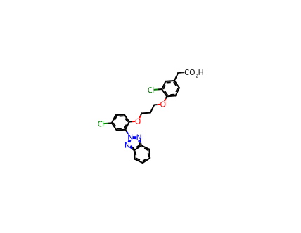 O=C(O)Cc1ccc(OCCCOc2ccc(Cl)cc2-n2nc3ccccc3n2)c(Cl)c1